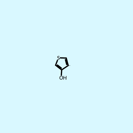 Oc1[c]csc1